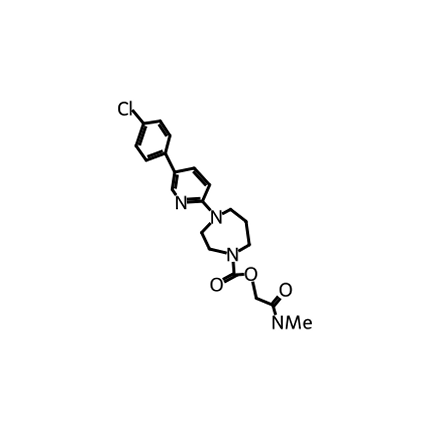 CNC(=O)COC(=O)N1CCCN(c2ccc(-c3ccc(Cl)cc3)cn2)CC1